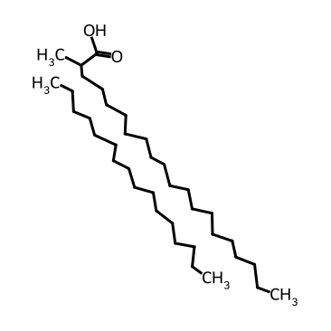 CCCCCCCCCCCCCCCC.CCCCCCCCCCCCCCCCCCC(C)C(=O)O